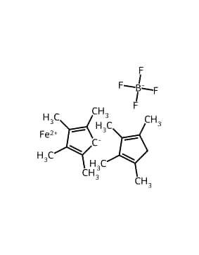 CC1=C(C)C(C)=C(C)C1.Cc1[cH-]c(C)c(C)c1C.F[B-](F)(F)F.[Fe+2]